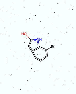 CCc1cccc2cc(O)[nH]c12